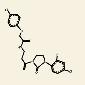 C=C(CCNC(=O)COc1ccc(Cl)cc1)N1CCN(c2ccc(Cl)cc2F)C1=O